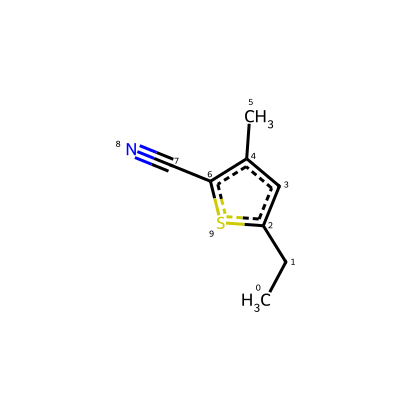 CCc1cc(C)c(C#N)s1